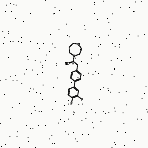 N#C[C@H](Cc1ccc(-c2ccc(F)c(F)c2)cc1)N1CCCOCC1